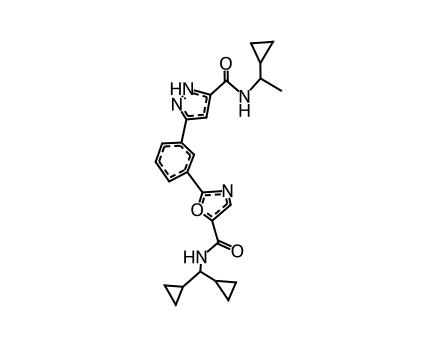 CC(NC(=O)c1cc(-c2cccc(-c3ncc(C(=O)NC(C4CC4)C4CC4)o3)c2)n[nH]1)C1CC1